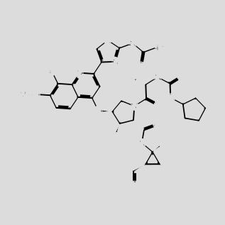 C=C[C@@H]1C[C@]1(NC(=O)[C@@H]1[C@@H](C)[C@@H](Oc2cc(-c3csc(NC(=O)C(C)C)n3)nc3c(Br)c(OC)ccc23)CN1C(=O)[C@@H](NC(=O)OC1CCCC1)C(C)(C)C)C(=O)O